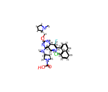 CN1CCC[C@H]1COc1nc(N(C)[C@@H]2CCN(C(=O)O)C2)c2cnc(-c3cccc4cccc(Cl)c34)c(F)c2n1